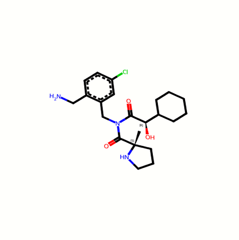 C[C@@]1(C(=O)N(Cc2cc(Cl)ccc2CN)C(=O)[C@H](O)C2CCCCC2)CCCN1